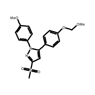 COCOc1ccc(-c2cc(S(C)(=O)=O)nn2-c2ccc(OC)cc2)cc1